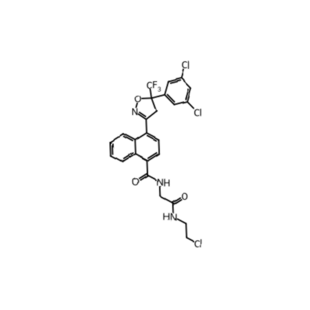 O=C(CNC(=O)c1ccc(C2=NOC(c3cc(Cl)cc(Cl)c3)(C(F)(F)F)C2)c2ccccc12)NCCCl